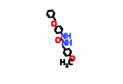 COc1ccc(CNC(=O)Nc2ccc(OCc3ccccc3)cc2)cc1